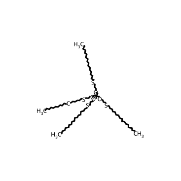 CCCCCCCCCCCCCCCCCCSCCCOCC(COCCCSCCCCCCCCCCCCCCCCCC)(COCCCSCCCCCCCCCCCCCCCCCC)COCCCSCCCCCCCCCCCCCCCCCC